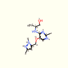 CCC[C@@H](CO)Nc1nc(C)ncc1OCc1cc(C)nn1C